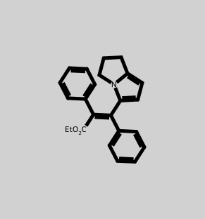 CCOC(=O)C(=C(c1ccccc1)c1ccc2n1CCC2)c1ccccc1